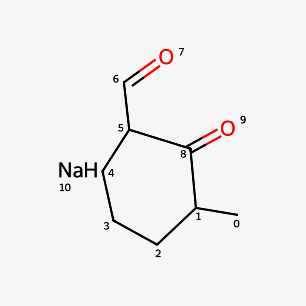 CC1CCCC(C=O)C1=O.[NaH]